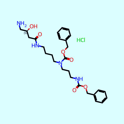 Cl.NC[C@@H](O)CC(=O)NCCCCN(CCCNC(=O)OCc1ccccc1)C(=O)OCc1ccccc1